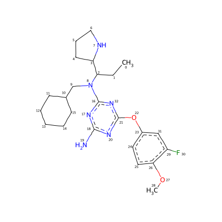 CCC(C1CCCN1)N(CC1CCCCC1)c1nc(N)nc(Oc2ccc(OC)c(F)c2)n1